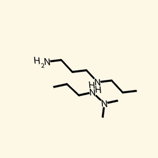 CCCNCCCN.CCCNN(C)C